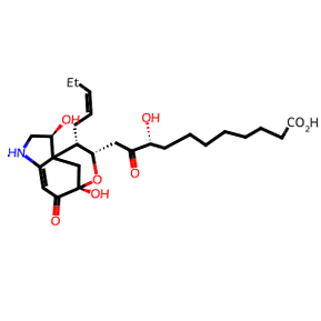 CC/C=C\C[C@@H]1[C@H](CC(=O)[C@H](O)CCCCCCCC(=O)O)O[C@@]2(O)CC13C(=CC2=O)NC[C@H]3O